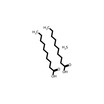 CCCCCCCCCC(=O)O.CCCCCCCCCC(=O)O.S